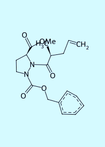 C=CC[C@H](C)C(=O)N1[C@H](C(=O)OC)CCN1C(=O)OCc1ccccc1